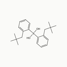 CC(C)(C)Cc1ccccc1[Si](O)(O)c1ccccc1CC(C)(C)C